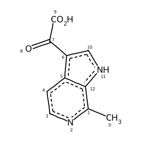 Cc1nccc2c(C(=O)C(=O)O)c[nH]c12